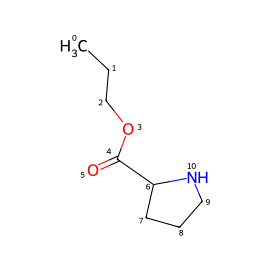 CCCOC(=O)C1CCCN1